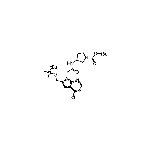 CC(C)(C)OC(=O)N1CCC(NC(=O)Cn2c(CO[Si](C)(C)C(C)(C)C)cc3c(Cl)ncnc32)C1